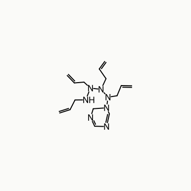 C=CCNN(CC=C)N(CC=C)N(CC=C)N1C=NC=NC1